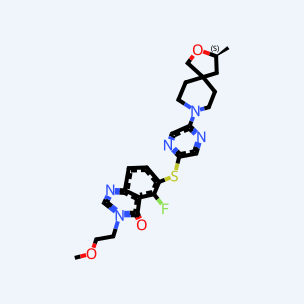 COCCn1cnc2ccc(Sc3cnc(N4CCC5(CC4)CO[C@@H](C)C5)cn3)c(F)c2c1=O